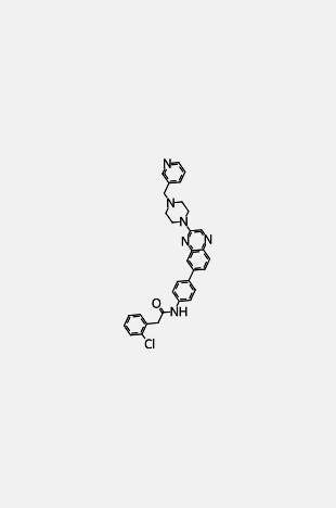 O=C(Cc1ccccc1Cl)Nc1ccc(-c2ccc3ncc(N4CCN(Cc5cccnc5)CC4)nc3c2)cc1